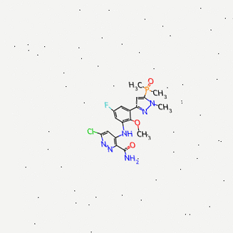 COc1c(Nc2cc(Cl)nnc2C(N)=O)cc(F)cc1-c1cc(P(C)(C)=O)n(C)n1